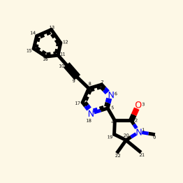 CN1C(=O)C(c2ncc(C#Cc3ccccc3)cn2)CC1(C)C